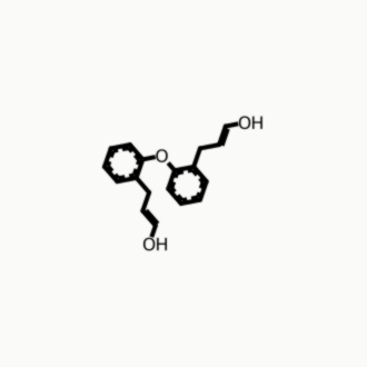 OC=CCc1ccccc1Oc1ccccc1CC=CO